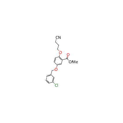 COC(=O)c1cc(OCc2cccc(Cl)c2)ccc1OCCCC#N